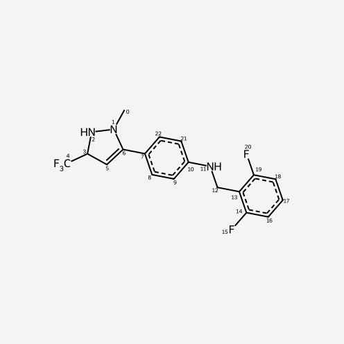 CN1NC(C(F)(F)F)C=C1c1ccc(NCc2c(F)cccc2F)cc1